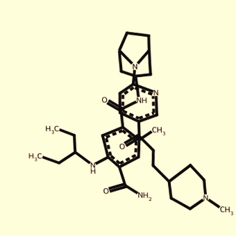 CCC(CC)Nc1cc(C(=O)NC2CC3CCC(C2)N3c2ccc(C(=O)CCC3CCN(C)CC3)cn2)c(C)cc1C(N)=O